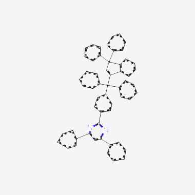 C1=C(C(c2ccccc2)(c2ccccc2)c2ccc(-c3nc(-c4ccccc4)cc(-c4ccccc4)n3)cc2)c2ccccc2C1(c1ccccc1)c1ccccc1